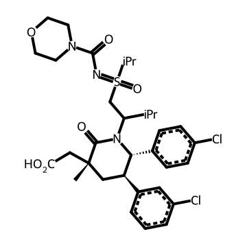 CC(C)C(CS(=O)(=NC(=O)N1CCOCC1)C(C)C)N1C(=O)[C@@](C)(CC(=O)O)C[C@H](c2cccc(Cl)c2)[C@H]1c1ccc(Cl)cc1